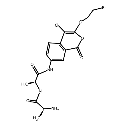 C[C@H](N)C(=O)N[C@@H](C)C(=O)Nc1ccc2c(Cl)c(OCCBr)oc(=O)c2c1